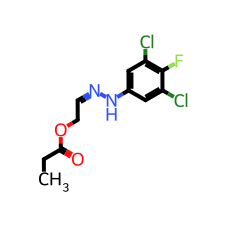 CCC(=O)OC/C=N\Nc1cc(Cl)c(F)c(Cl)c1